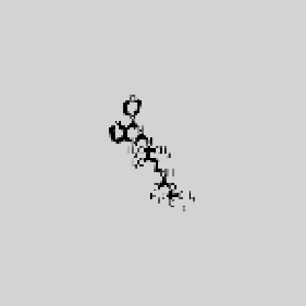 CC(CCNC(=O)OC(C)(C)C)C(C)(C)Nc1nc(N2CCOCC2)c2ncccc2n1